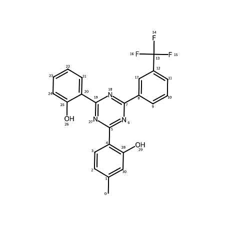 Cc1ccc(-c2nc(-c3cccc(C(F)(F)F)c3)nc(-c3ccccc3O)n2)c(O)c1